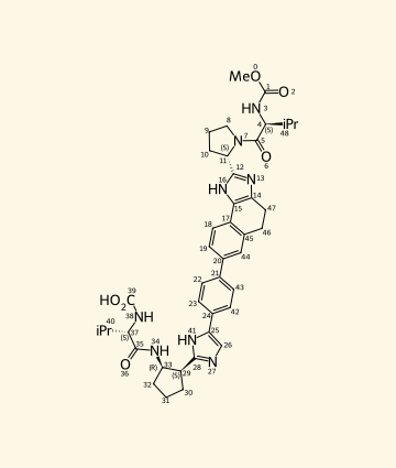 COC(=O)N[C@H](C(=O)N1CCC[C@H]1c1nc2c([nH]1)-c1ccc(-c3ccc(-c4cnc([C@H]5CCC[C@H]5NC(=O)[C@@H](NC(=O)O)C(C)C)[nH]4)cc3)cc1CC2)C(C)C